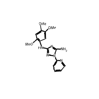 COc1cc(OC)c(OC)cc1Nc1nc(N)n(-c2ccccn2)n1